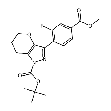 COC(=O)c1ccc(-c2nn(C(=O)OC(C)(C)C)c3c2OCCC3)c(F)c1